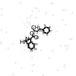 CC(CCc1ccccc1)OC(=O)c1n[nH]c2ccccc12